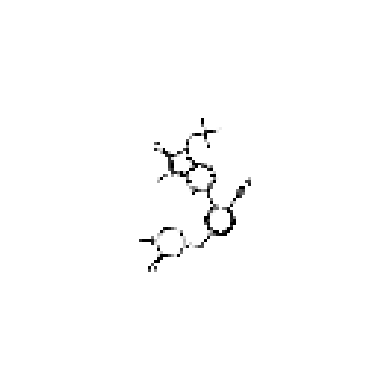 CN1CCN(Cc2ccc(C#N)c(-c3ccc4c(n3)n(C)c(=O)n4CC(C)(C)C)c2)CC1=O